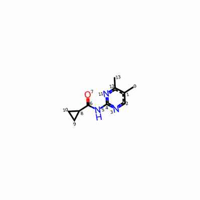 Cc1cnc(NC(=O)C2CC2)nc1C